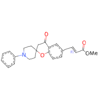 COC(=O)/C=C/c1ccc2c(c1)C(=O)CC1(CCN(c3ccccc3)CC1)O2